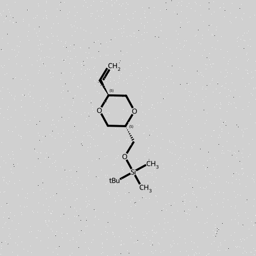 C=C[C@H]1CO[C@H](CO[Si](C)(C)C(C)(C)C)CO1